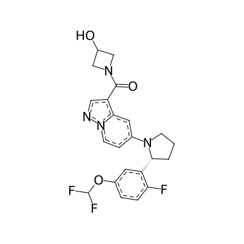 O=C(c1cnn2ccc(N3CCC[C@@H]3c3cc(OC(F)F)ccc3F)cc12)N1CC(O)C1